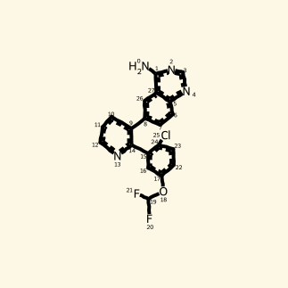 Nc1ncnc2ccc(-c3cccnc3-c3cc(OC(F)F)ccc3Cl)cc12